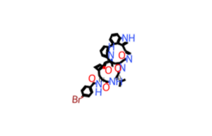 CC(C)[C@@H]1NC(=O)[C@@H](NC(=O)c2ccc(Br)cc2)Cc2ccc3c(c2)[C@]24c5cccc(c5NC2O3)-c2cccc3[nH]cc(c23)-c2cnc(o2)-c2nc1oc24